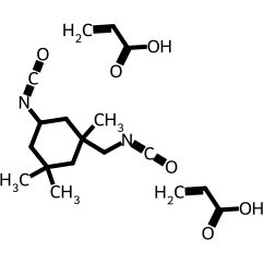 C=CC(=O)O.C=CC(=O)O.CC1(C)CC(N=C=O)CC(C)(CN=C=O)C1